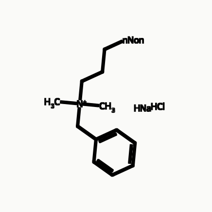 CCCCCCCCCCCC[N+](C)(C)Cc1ccccc1.Cl.[NaH]